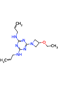 C=CCNc1nc(NCC=C)nc(N2CC(OCC)C2)n1